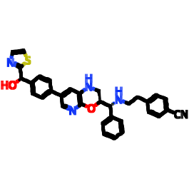 N#Cc1ccc(CCN[C@H](c2ccccc2)[C@@H]2CNc3cc(-c4ccc([C@@H](O)c5nccs5)cc4)cnc3O2)cc1